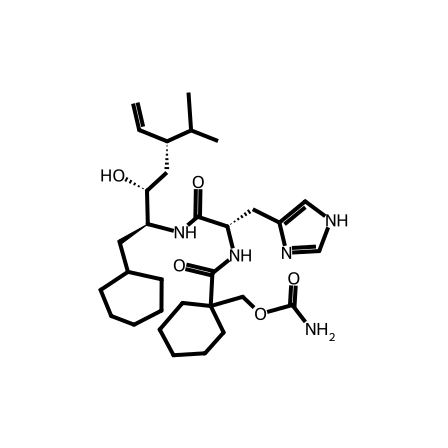 C=C[C@@H](C[C@@H](O)[C@H](CC1CCCCC1)NC(=O)[C@H](Cc1c[nH]cn1)NC(=O)C1(COC(N)=O)CCCCC1)C(C)C